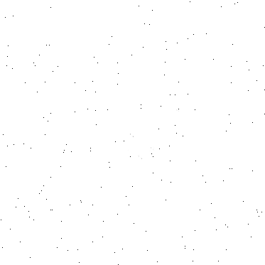 CCc1cccc(OC)c1-n1c(/C=C/N)nnc1C1=CC=C(C)C1